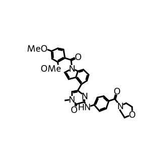 COc1ccc(C(=O)n2ccc3c(-c4cn(C)c(=O)c(Nc5ccc(C(=O)N6CCOCC6)cc5)n4)cccc32)c(OC)c1